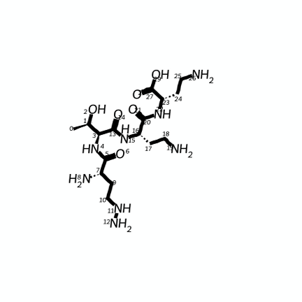 C[C@@H](O)[C@H](NC(=O)[C@@H](N)CCNN)C(=O)N[C@@H](CCN)C(=O)N[C@@H](CCN)C(=O)O